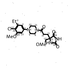 CCc1cc(N2CCN(C(=O)CCC3(COC)NC(=O)NC3=O)CC2)cc(OC)c1Cl